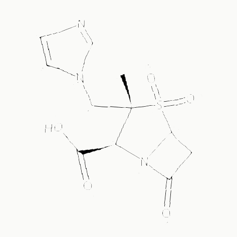 C[C@]1(Cn2ccnc2)[C@H](C(=O)O)N2C(=O)CC2S1(=O)=O